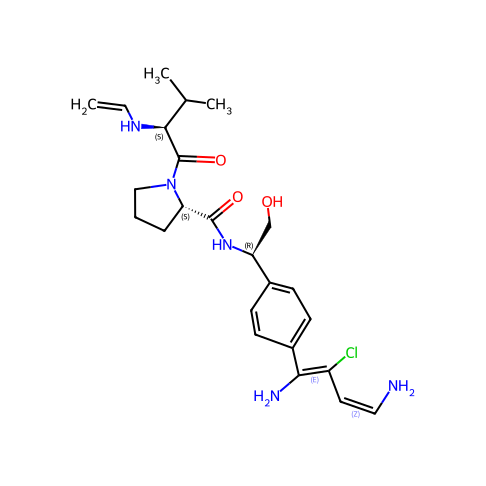 C=CN[C@H](C(=O)N1CCC[C@H]1C(=O)N[C@@H](CO)c1ccc(/C(N)=C(Cl)/C=C\N)cc1)C(C)C